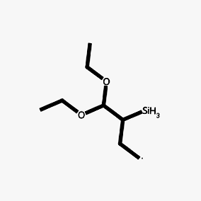 [CH2]CC([SiH3])C(OCC)OCC